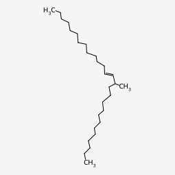 CCCCCCCCCCCCC=CC(C)CCCCCCCCCCCC